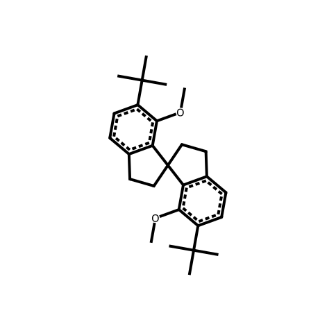 COc1c(C(C)(C)C)ccc2c1C1(CC2)CCc2ccc(C(C)(C)C)c(OC)c21